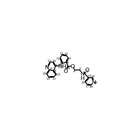 O=C(NCCOC(=O)c1ccccc1Nc1ccnc2ccccc12)c1cccnc1